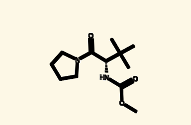 COC(=O)N[C@H](C(=O)N1CCCC1)C(C)(C)C